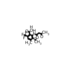 COc1c(C)cc(C(F)(F)F)c(C(=O)O)c1NC(=O)CC(C)=O